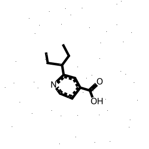 CCC(CC)c1cc(C(=O)O)ccn1